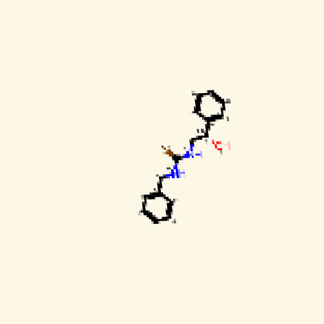 O[C@H](CNC(=S)NCc1ccccc1)c1ccccc1